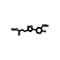 COC(=O)CCc1cc(-c2ccc(F)c(OC)c2)on1